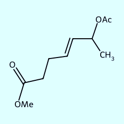 COC(=O)CCC=CC(C)OC(C)=O